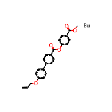 C=CCOc1ccc(-c2ccc(C(=O)Oc3ccc(C(=O)OC[C@@H](C)CC)cc3)cc2)cc1